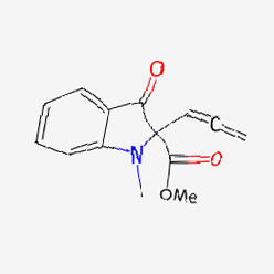 C=C=CC1(C(=O)OC)C(=O)c2ccccc2N1C